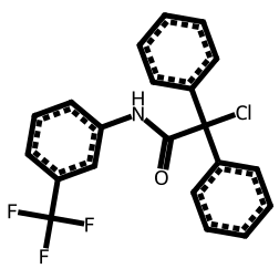 O=C(Nc1cccc(C(F)(F)F)c1)C(Cl)(c1ccccc1)c1ccccc1